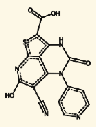 N#Cc1c(O)nc2sc(C(=O)O)c3c2c1N(c1ccncc1)C(=O)N3